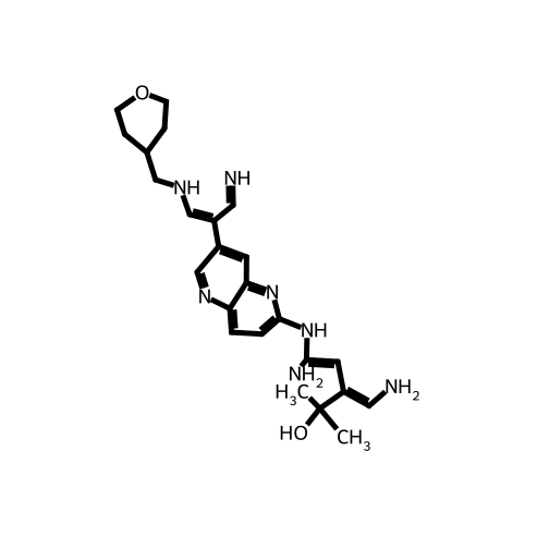 CC(C)(O)C(/C=C(\N)Nc1ccc2ncc(/C(C=N)=C/NCC3CCOCC3)cc2n1)=C/N